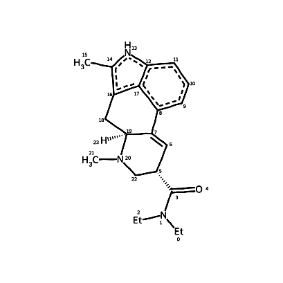 CCN(CC)C(=O)[C@H]1C=C2c3cccc4[nH]c(C)c(c34)C[C@@H]2N(C)C1